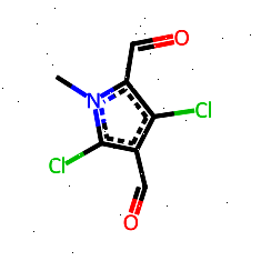 Cn1c(Cl)c(C=O)c(Cl)c1C=O